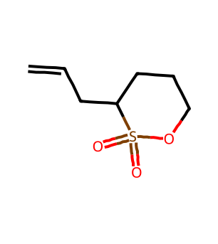 C=CCC1CCCOS1(=O)=O